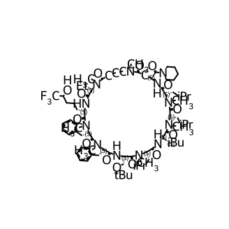 CC[C@H](C)[C@@H]1NC(=O)[C@H](CC(C)C)N(C)C(=O)[C@H](COC(C)(C)C)NC(=O)[C@H](Cc2ccccc2)N(C)C(=O)[C@H](Cc2ccccc2)N(C)C(=O)[C@H](CCCC(O)C(F)(F)F)NC(=O)[C@H](CC)N(C)C(=O)CCCN(C)C(=O)C[C@@H](C(=O)N2CCCCC2)NC(=O)[C@H](CC(C)C)N(C)C(=O)[C@H](CC(C)C)N(C)C1=O